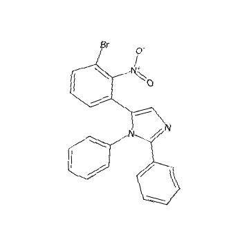 O=[N+]([O-])c1c(Br)cccc1-c1cnc(-c2ccccc2)n1-c1ccccc1